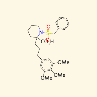 COc1cc(CCCC2(C(=O)O)CCCCN2S(=O)(=O)Cc2ccccc2)cc(OC)c1OC